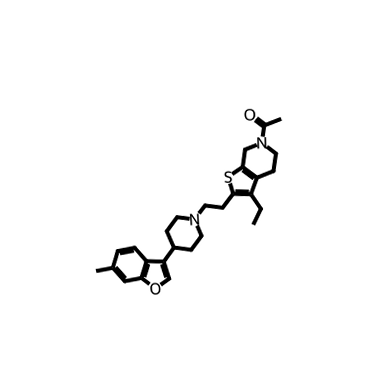 CCc1c(CCN2CCC(c3coc4cc(C)ccc34)CC2)sc2c1CCN(C(C)=O)C2